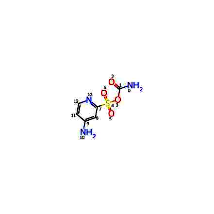 NC(=O)OS(=O)(=O)c1cc(N)ccn1